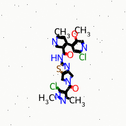 COc1cnc(Cl)cc1-c1cc(C)ncc1C(=O)Nc1nc2c(s1)CN(C(=O)c1c(C)nn(C)c1Cl)C2